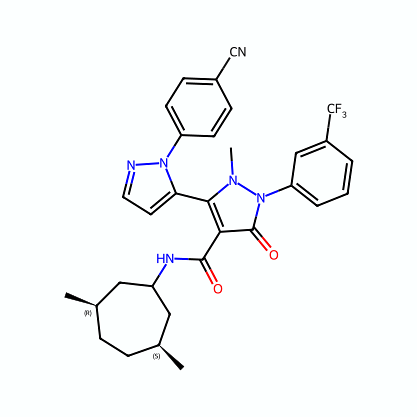 C[C@@H]1CC[C@H](C)CC(NC(=O)c2c(-c3ccnn3-c3ccc(C#N)cc3)n(C)n(-c3cccc(C(F)(F)F)c3)c2=O)C1